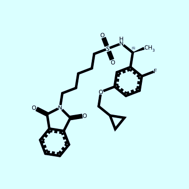 C[C@H](NS(=O)(=O)CCCCCN1C(=O)c2ccccc2C1=O)c1cc(OCC2CC2)ccc1F